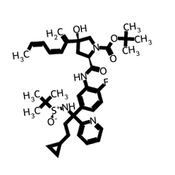 C=C(/C=C\C=C/C)[C@@]1(O)C[C@H](C(=O)Nc2cc(C(CCC3CC3)(N[S@@+]([O-])C(C)(C)C)c3ccccn3)ccc2F)N(C(=O)OC(C)(C)C)C1